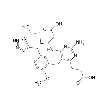 CCCC[C@@H](CC(=O)O)Nc1nc(N)nc(CCC(=O)O)c1Cc1cc(Cc2nn[nH]n2)ccc1OC